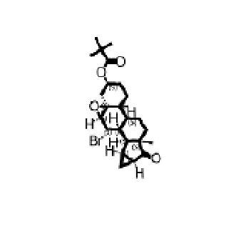 CC(C)(C)C(=O)O[C@H]1CC[C@]2(C)[C@H]3CC[C@]4(C)C(=O)[C@H]5C[C@H]5[C@H]4[C@@H]3[C@H](Br)[C@H]3O[C@]32C1